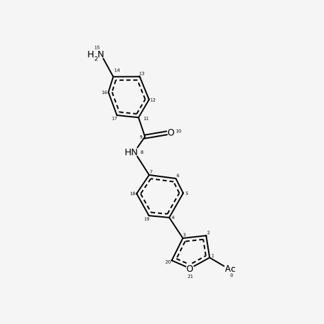 CC(=O)c1cc(-c2ccc(NC(=O)c3ccc(N)cc3)cc2)co1